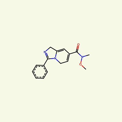 CON(C)C(=O)C1=CCN2C(=C1)CN=C2c1ccccc1